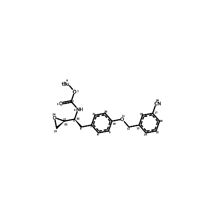 CC(C)(C)OC(=O)N[C@@H](Cc1ccc(OCc2cccc(C#N)c2)cc1)[C@H]1CO1